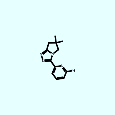 [2H]c1cccc(-c2nnc3n2CC(C)(C)C3)n1